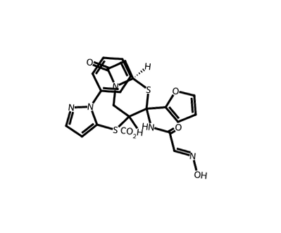 O=C(C=NO)NC1(c2ccco2)S[C@@H]2CC(=O)N2CC1(Sc1ccnn1-c1ccccc1)C(=O)O